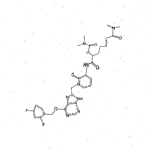 CN(C)C(=O)C=CCCC(OC(=O)N(C)C)C(=O)Nc1cccn(Cc2nc3c(OCc4ccc(F)cc4F)ncnc3[nH]2)c1=O